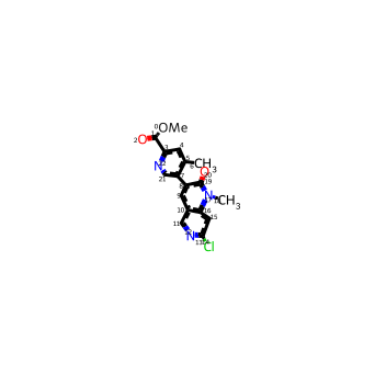 COC(=O)c1cc(C)c(-c2cc3cnc(Cl)cc3n(C)c2=O)cn1